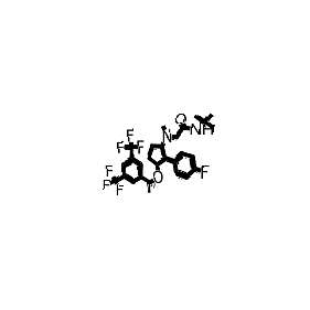 C[C@H](OC1CCC(N(C)CC(=O)NC(C)(C)C)C1c1ccc(F)cc1)c1cc(C(F)(F)F)cc(C(F)(F)F)c1